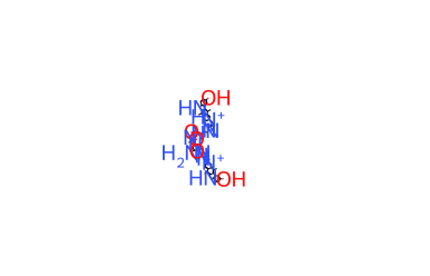 Cc1c2cc[n+](Cc3cnn(CCCNCC(=O)N(C)C(C)C(=O)N(CCCn4cc(C[n+]5ccc6c(C)c7[nH]c8ccc(O)cc8c7c(C)c6c5)nn4)CC(N)=O)c3)cc2c(C)c2c1[nH]c1ccc(O)cc12